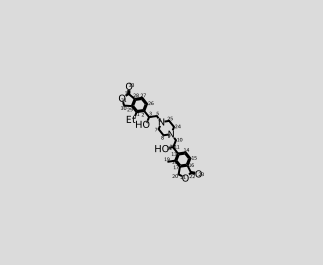 CCc1c(C(O)CN2CCN(C[C@H](O)c3ccc4c(c3C)COC4=O)CC2)ccc2c1COC2=O